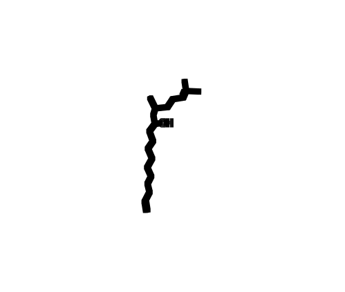 C=CCCCCCCCCC(O)CC(C)CCC=C(C)C